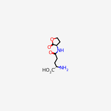 N[C@@H](CCC(=O)N[C@@H]1CCOC1=O)C(=O)O